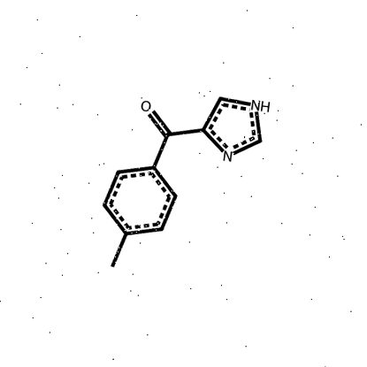 Cc1ccc(C(=O)c2c[nH]cn2)cc1